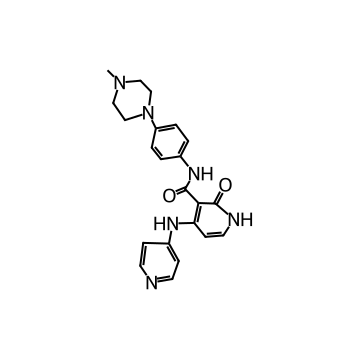 CN1CCN(c2ccc(NC(=O)c3c(Nc4ccncc4)cc[nH]c3=O)cc2)CC1